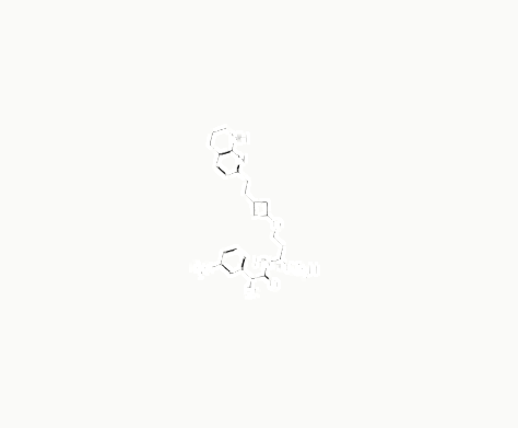 CCC(C(=O)N[C@@H](CCOC1CC(CCc2ccc3c(n2)NCCC3)C1)C(=O)O)c1cccc(C(F)(F)F)c1